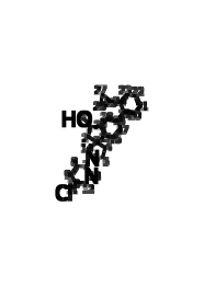 OC1CC2(CCN(c3ccc(Cl)cn3)C2)c2ccc(-c3ccccc3C3CC3)cc21